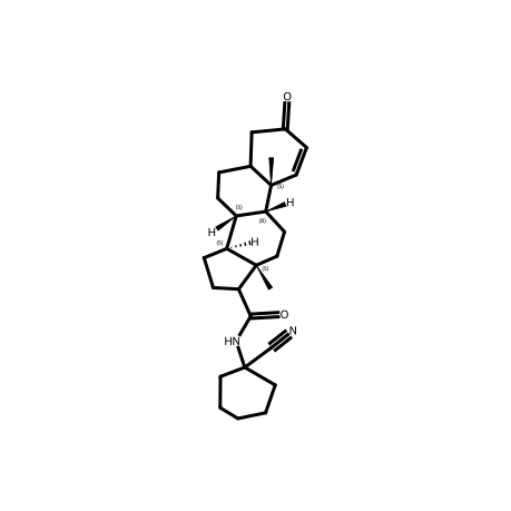 C[C@]12C=CC(=O)CC1CC[C@@H]1[C@H]2CC[C@]2(C)C(C(=O)NC3(C#N)CCCCC3)CC[C@@H]12